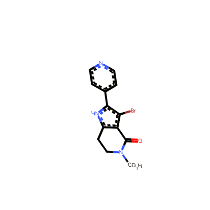 O=C(O)N1CCc2[nH]c(-c3ccncc3)c(Br)c2C1=O